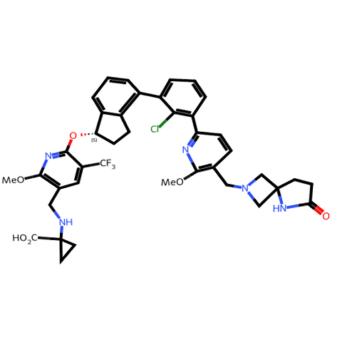 COc1nc(-c2cccc(-c3cccc4c3CC[C@@H]4Oc3nc(OC)c(CNC4(C(=O)O)CC4)cc3C(F)(F)F)c2Cl)ccc1CN1CC2(CCC(=O)N2)C1